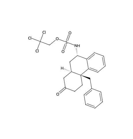 O=C1CC[C@@]2(Cc3ccccc3)c3ccccc3[C@@H](NS(=O)(=O)OCC(Cl)(Cl)Cl)C[C@@H]2C1